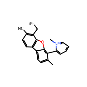 Cc1ccc2c(oc3c(CC(C)C)c(C#N)ccc32)c1-c1cccc[n+]1C